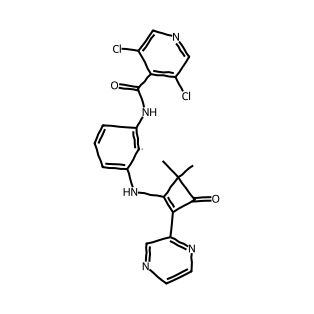 CC1(C)C(=O)C(c2cnccn2)=C1Nc1[c]c(NC(=O)c2c(Cl)cncc2Cl)ccc1